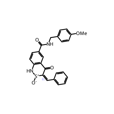 COc1ccc(CNC(=O)c2ccc3c(c2)C(=O)/C(=C\c2ccccc2)[S+]([O-])N3)cc1